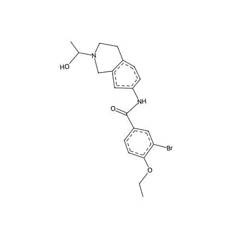 CCOc1ccc(C(=O)Nc2ccc3c(c2)CN(C(C)O)CC3)cc1Br